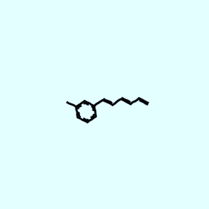 C=CC=CC=Cc1cccc(C)c1